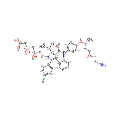 CC(CCOCCN)Oc1ccc(NC(=O)c2c(-c3ccccc3)c(-c3ccc(F)cc3)n(CC[C@@H](O)C[C@@H](O)CC(=O)O)c2C(C)C)cc1